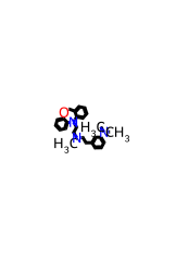 CN(CCc1cccc(N(C)C)c1)CCN1c2ccccc2COc2ccccc21